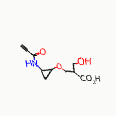 C#CC(=O)NC1CC1OCC(CO)C(=O)O